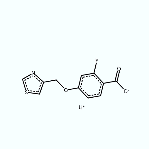 O=C([O-])c1ccc(OCc2cscn2)cc1F.[Li+]